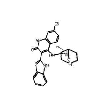 N#Cc1ccc2c(N[C@@H]3CN4CCC3CC4)c(-c3nc4ccccc4[nH]3)c(=O)[nH]c2c1